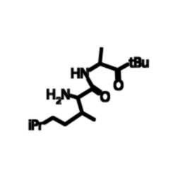 CC(C)CCC(C)C(N)C(=O)NC(C)C(=O)C(C)(C)C